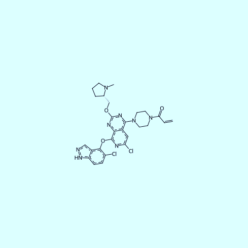 C=CC(=O)N1CCN(c2nc(OC[C@@H]3CCCN3C)nc3c(Oc4c(Cl)ccc5[nH]ncc45)nc(Cl)cc23)CC1